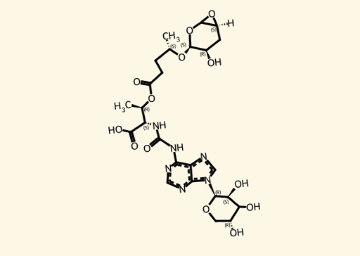 C[C@@H](CCC(=O)O[C@H](C)[C@H](NC(=O)Nc1ncnc2c1ncn2[C@@H]1OC[C@@H](O)C(O)[C@@H]1O)C(=O)O)O[C@H]1OC2O[C@H]2C[C@H]1O